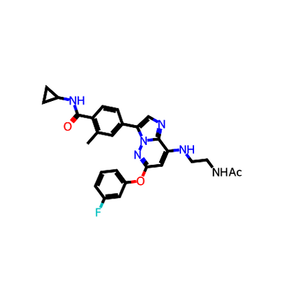 CC(=O)NCCNc1cc(Oc2cccc(F)c2)nn2c(-c3ccc(C(=O)NC4CC4)c(C)c3)cnc12